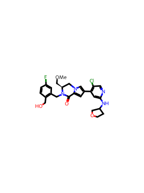 COC[C@H]1Cn2cc(-c3cc(NC4CCOC4)ncc3Cl)cc2C(=O)N1Cc1cc(F)ccc1CO